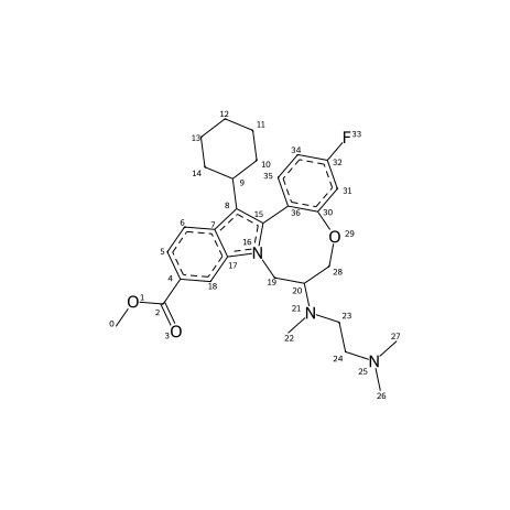 COC(=O)c1ccc2c(C3CCCCC3)c3n(c2c1)CC(N(C)CCN(C)C)COc1cc(F)ccc1-3